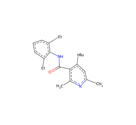 CCCCc1cc(C)nc(C)c1C(=O)Nc1c(CC)cccc1CC